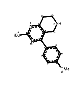 CCC(C)c1nc2c(c(-c3ccc(OC)cc3)n1)CNCC2